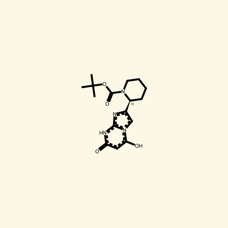 CC(C)(C)OC(=O)N1CCCC[C@H]1c1cn2c(O)cc(=O)[nH]c2n1